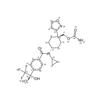 C[C@](O)(c1ccc(C(=O)N(C2CC2)[C@H]2CC[C@@](COC(N)=O)(c3ccon3)CC2)cc1)C(F)(F)F